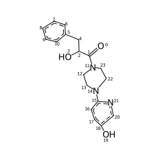 O=C(C(O)Cc1ccccc1)N1CCN(c2ccc(O)cn2)CC1